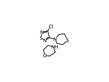 C1COCCN1.Clc1nsnc1N1CCSCC1